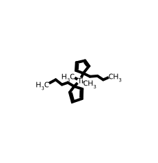 CCCC[C]1([Ti]([CH3])([CH3])[C]2(CCCC)C=CC=C2)C=CC=C1